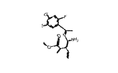 C=C/C(C(=C)C(=O)OC)=C(N)/N=C(\C)c1cc(F)c(Cl)cc1F